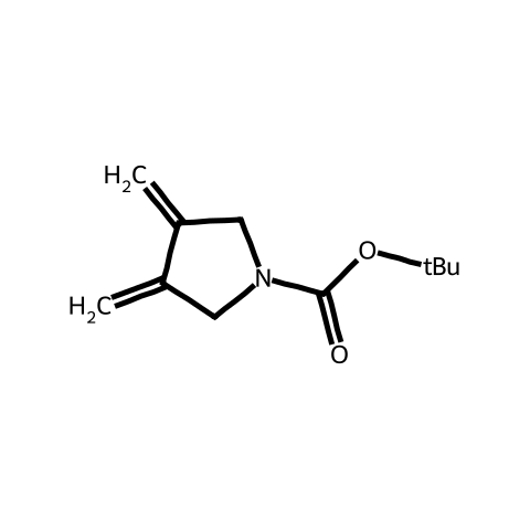 C=C1CN(C(=O)OC(C)(C)C)CC1=C